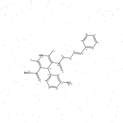 COC(=O)C1=C(C)NC(C)=C(C(=O)OCC=Cc2ccccc2)C1c1cccc([N+](=O)[O-])c1